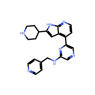 c1cc(CNc2cncc(-c3ccnc4[nH]c(C5CCNCC5)cc34)n2)ccn1